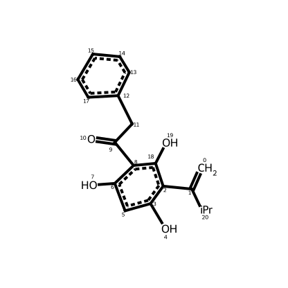 C=C(c1c(O)cc(O)c(C(=O)Cc2ccccc2)c1O)C(C)C